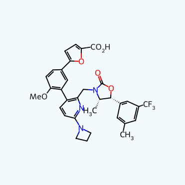 COc1ccc(-c2ccc(C(=O)O)o2)cc1-c1ccc(N2CCC2)nc1CN1C(=O)O[C@H](c2cc(C)cc(C(F)(F)F)c2)[C@@H]1C